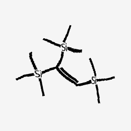 C[Si](C)(C)C=C([Si](C)(C)C)[Si](C)(C)C